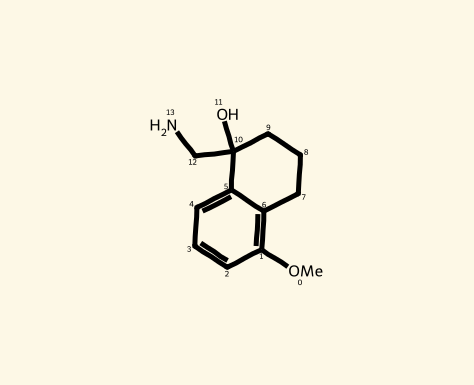 COc1cccc2c1CCCC2(O)CN